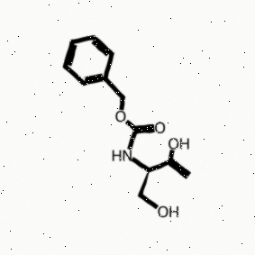 C=C(O)[C@@H](CO)NC(=O)OCc1ccccc1